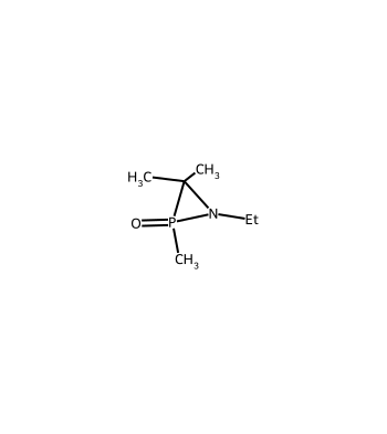 CCN1C(C)(C)P1(C)=O